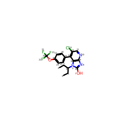 CCC(CC)n1c(O)nc2ncc(Cl)c(-c3ccc(OC(F)(F)F)cc3)c21